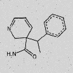 CC(c1ccccc1)C1(C(N)=O)C=CC=NC1